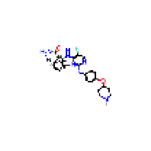 CN1CCC(Oc2ccc(Nc3ncc(F)c(N[C@H]4[C@@H](C(N)=O)[C@@H]5C=C[C@H]4C5)n3)cc2)CC1